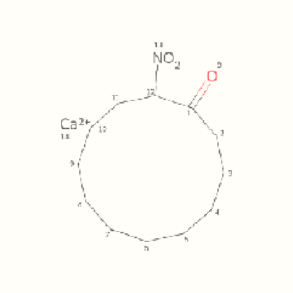 O=C1CCCCCCCCCCC1[N+](=O)[O-].[Ca+2]